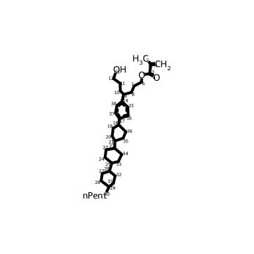 C=C(C)C(=O)OCCCC(CCCO)c1ccc(C2CCC(C3CCC(C4CCC(CCCCC)CC4)CC3)CC2)cc1